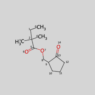 CCC(C)(C)C(=O)OCC1CCCC1=O